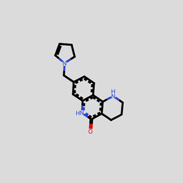 O=c1[nH]c2cc(CN3C=CCC3)ccc2c2c1CCCN2